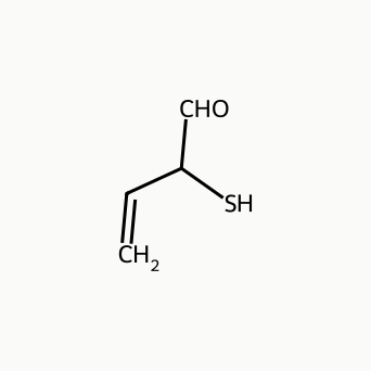 C=CC(S)C=O